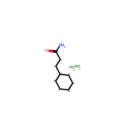 Cl.Cl.NC(=O)CCC1CCCCC1